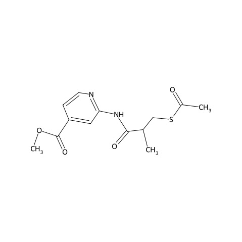 COC(=O)c1ccnc(NC(=O)C(C)CSC(C)=O)c1